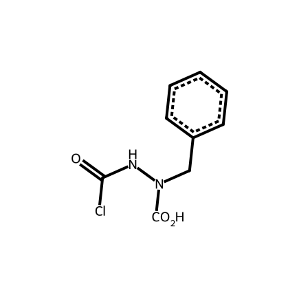 O=C(Cl)NN(Cc1ccccc1)C(=O)O